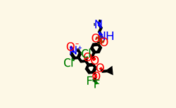 CN(C)CCNS(=O)(=O)c1ccc(C(=O)OC(Cc2c(Cl)c[n+]([O-])cc2Cl)c2ccc(OC(F)F)c(OCC3CC3)c2)cc1